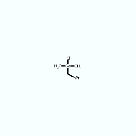 CCC[CH2][Ge]([CH3])([CH3])[Cl]